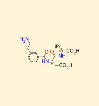 CC(C)[C@H](NC(=O)[C@H](CC(=O)O)NC(=O)c1cccc(CCN)c1)C(=O)O